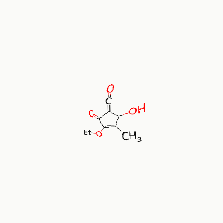 CCOC1=C(C)C(O)C(=C=O)C1=O